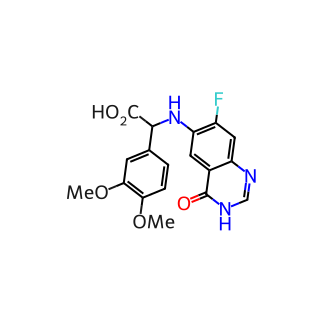 COc1ccc(C(Nc2cc3c(=O)[nH]cnc3cc2F)C(=O)O)cc1OC